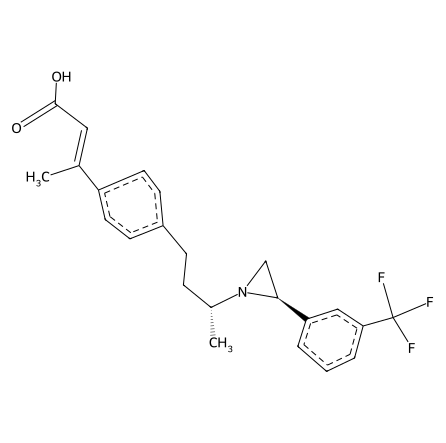 C/C(=C\C(=O)O)c1ccc(CC[C@@H](C)N2C[C@H]2c2cccc(C(F)(F)F)c2)cc1